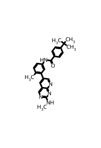 CNc1ncc2cc(-c3cc(NC(=O)c4ccc(C(C)(C)C)cc4)ccc3C)cnc2n1